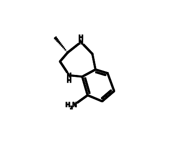 C[C@H]1CNc2c(N)cccc2CN1